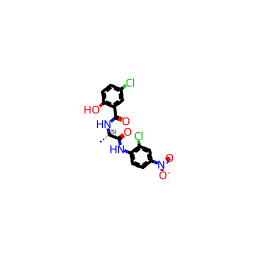 C[C@H](NC(=O)c1cc(Cl)ccc1O)C(=O)Nc1ccc([N+](=O)[O-])cc1Cl